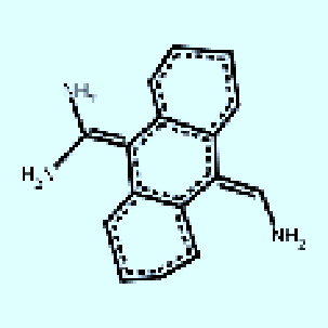 NC=c1c2ccccc2c(=C(N)N)c2ccccc12